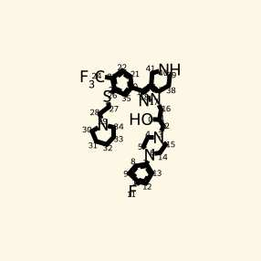 OC(CN1CCN(c2ccc(F)cc2)CC1)Cn1nc(-c2ccc(C(F)(F)F)c(SCCN3CCCCC3)c2)c2c1CCNC2